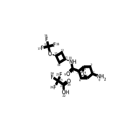 NC1CC2OC1CC2C(=O)N[C@H]1C[C@@H](OC(F)(F)F)C1.O=C(O)C(F)(F)F